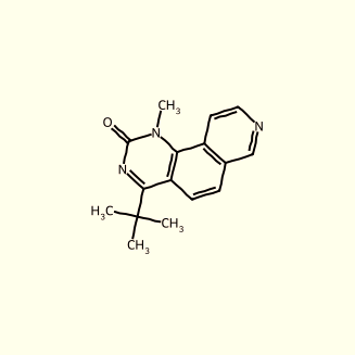 Cn1c(=O)nc(C(C)(C)C)c2ccc3cnccc3c21